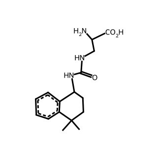 CC1(C)CCC(NC(=O)NCC(N)C(=O)O)c2ccccc21